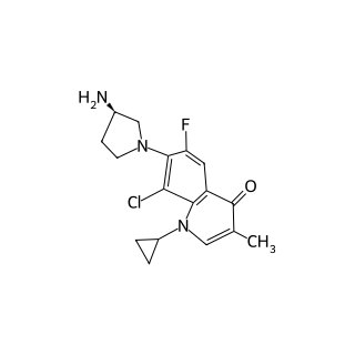 Cc1cn(C2CC2)c2c(Cl)c(N3CC[C@@H](N)C3)c(F)cc2c1=O